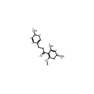 COC1=C(C(=O)CCC2=CCC(O)C=C2)C(O)=CC(O)C1